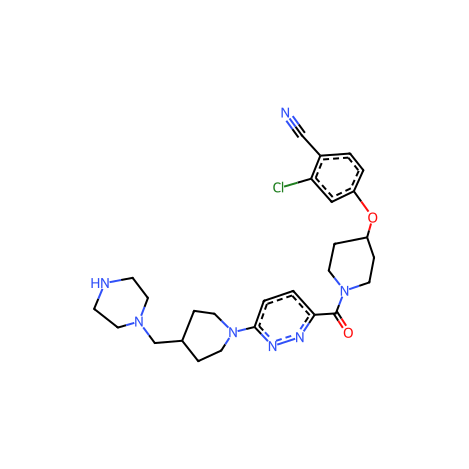 N#Cc1ccc(OC2CCN(C(=O)c3ccc(N4CCC(CN5CCNCC5)CC4)nn3)CC2)cc1Cl